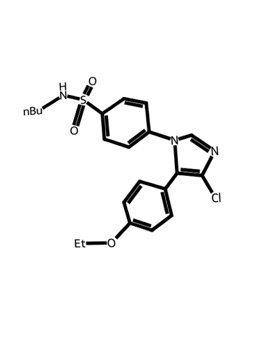 CCCCNS(=O)(=O)c1ccc(-n2cnc(Cl)c2-c2ccc(OCC)cc2)cc1